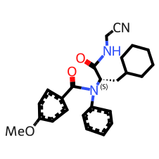 COc1ccc(C(=O)N(c2ccccc2)[C@@H](CC2CCCCC2)C(=O)NCC#N)cc1